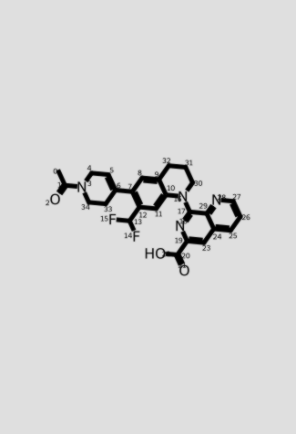 CC(=O)N1CC=C(c2cc3c(cc2C(F)F)N(c2nc(C(=O)O)cc4cccnc24)CCC3)CC1